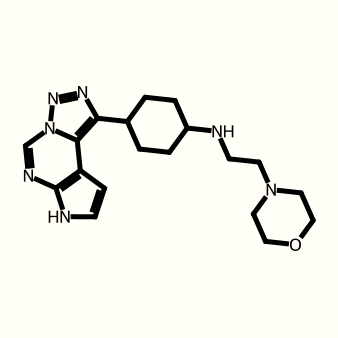 c1cc2c(ncn3nnc(C4CCC(NCCN5CCOCC5)CC4)c23)[nH]1